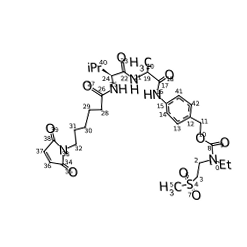 CCN(CCS(C)(=O)=O)C(=O)OCc1ccc(NC(=O)[C@H](C)NC(=O)[C@@H](NC(=O)CCCCCN2C(=O)C=CC2=O)C(C)C)cc1